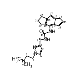 CN(C)CCn1ccc(SNC(=O)Nc2c3c(cc4c2CCC4)CC=C3)n1